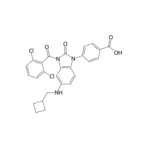 O=C(O)c1ccc(-n2c(=O)n(C(=O)c3c(Cl)cccc3Cl)c3cc(NCC4CCC4)ccc32)cc1